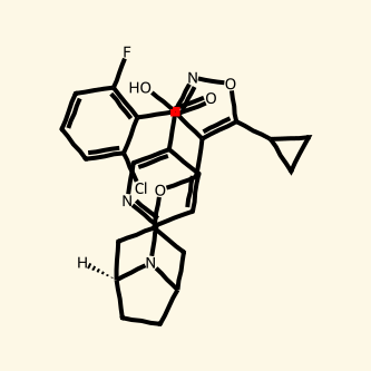 O=C(O)c1ccc(N2C3CC[C@H]2CC(OCc2c(-c4c(F)cccc4Cl)noc2C2CC2)C3)nc1